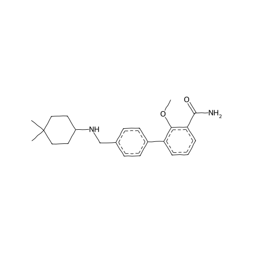 COc1c(C(N)=O)cccc1-c1ccc(CNC2CCC(C)(C)CC2)cc1